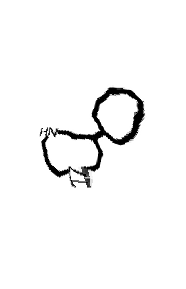 C1CCCCC(C2CCNCCCNC2)CCC1